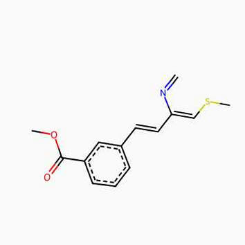 C=NC(=C\SC)/C=C/c1cccc(C(=O)OC)c1